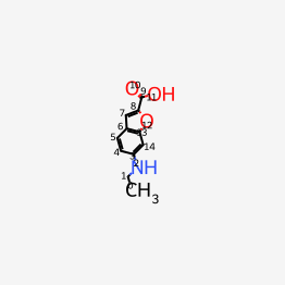 CCNc1ccc2cc(C(=O)O)oc2c1